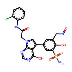 NS(=O)(=O)c1cc(-c2cn(CC(=O)Nc3ccccc3Cl)c3ncnc(O)c23)cc(CN=O)c1O